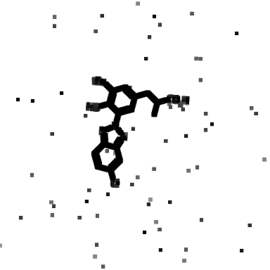 CC(Cc1cc(-n2nc3ccc(Cl)cc3n2)c(O)c(C(C)(C)C)c1)C(=O)O